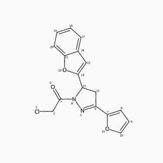 O=C(CCl)N1N=C(c2ccco2)CC1c1cc2ccccc2o1